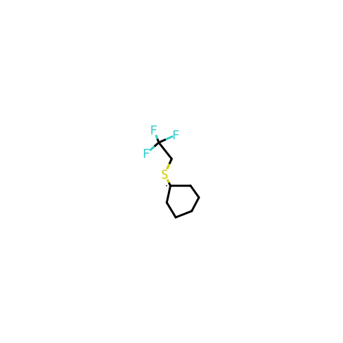 FC(F)(F)CS[C]1CCCCC1